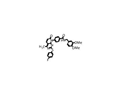 COc1ccc(CNC(=O)c2ccc(-n3c(=O)ccc4c(C)nc(Sc5ccc(F)cc5)nc43)cc2)cc1OC